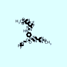 COc1ncc(-c2cnc(N(C(=O)OCCN3CC(F)(F)C3)[C@H]3CC[C@H](Nc4ncc(C(F)(F)F)c(-c5cncc(S(C)(=O)=O)c5)n4)CC3)cn2)cn1